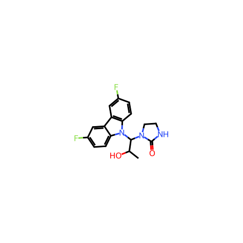 CC(O)C(N1CCNC1=O)n1c2ccc(F)cc2c2cc(F)ccc21